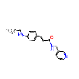 O=C(O)CNc1ccc(/C=C/C(=O)NCc2cccnc2)cc1